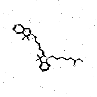 CCC(=O)CCCCCN1/C(=C/C=C/C=C/C2=Nc3ccccc3C2(C)C)C(C)(C)c2ccccc21